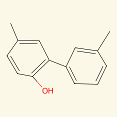 Cc1cccc(-c2cc(C)ccc2O)c1